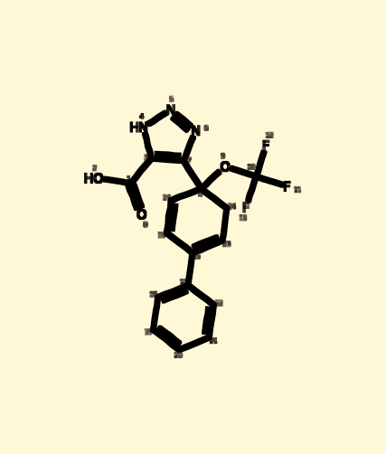 O=C(O)c1[nH]nnc1C1(OC(F)(F)F)C=CC(c2ccccc2)=CC1